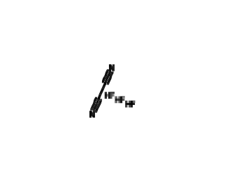 F.F.F.N#CC#N